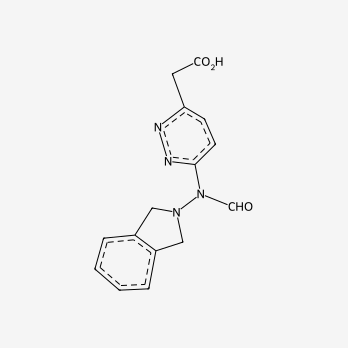 O=CN(c1ccc(CC(=O)O)nn1)N1Cc2ccccc2C1